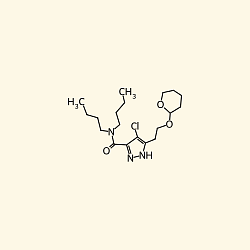 CCCCN(CCCC)C(=O)c1n[nH]c(CCOC2CCCCO2)c1Cl